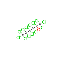 [O]C(Cl)(C(Cl)(Cl)Cl)C(Cl)(Cl)C(Cl)(Cl)C(Cl)(Cl)C(Cl)(Cl)Cl